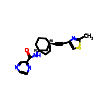 Cc1nc(C#C[C@@]23CCC[C@@](NC(=O)c4cnccn4)(CC2)C3)cs1